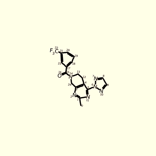 Cc1nc2c(c(-n3nccn3)n1)CCN(C(=O)c1cccc(C(F)(F)F)c1)C2